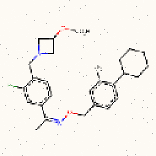 CC(=NOCc1ccc(C2CCCCC2)c(C(F)(F)F)c1)c1ccc(CN2CC(OC(=O)O)C2)c(F)c1